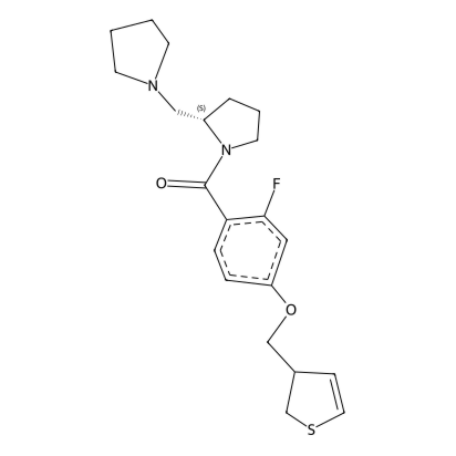 O=C(c1ccc(OCC2C=CSC2)cc1F)N1CCC[C@H]1CN1CCCC1